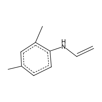 C=CNc1ccc(C)cc1C